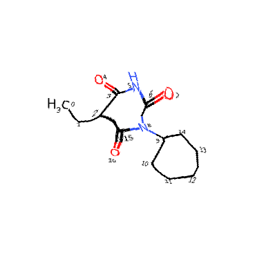 CCC1C(=O)NC(=O)N(C2CCCCC2)C1=O